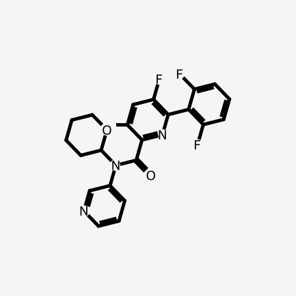 Cc1cc(F)c(-c2c(F)cccc2F)nc1C(=O)N(c1cccnc1)C1CCCCO1